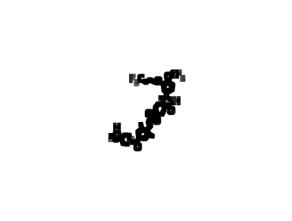 Cc1cc(C(=O)N2CCC(O)(CF)CC2)cc(C)c1C=CS(=O)(=O)N1CCC2(CC1)N=C(c1ccc(OC(F)(F)F)c(OCCCC(F)(F)F)c1)NC2=O